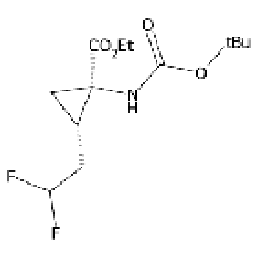 CCOC(=O)[C@@]1(NC(=O)OC(C)(C)C)C[C@H]1CC(F)F